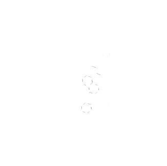 CCOC(=O)C(=O)c1cc(OC)c(OCOC)c2c(Cc3ccccc3OC)cccc12